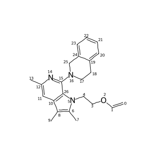 C=COCCn1c(C)c(C)c2cc(C)nc(N3CCc4ccccc4C3)c21